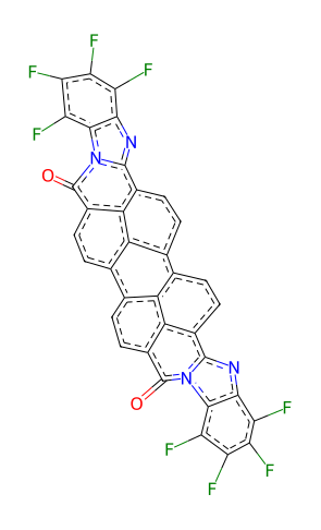 O=c1c2ccc3c4ccc5c(=O)n6c(nc7c(F)c(F)c(F)c(F)c76)c6ccc(c7ccc(c2c37)c2nc3c(F)c(F)c(F)c(F)c3n12)c4c56